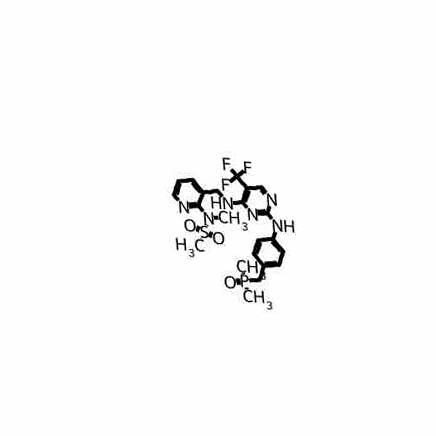 CN(c1ncccc1CNc1nc(Nc2ccc(CP(C)(C)=O)cc2)ncc1C(F)(F)F)S(C)(=O)=O